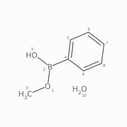 COB(O)c1ccccc1.O